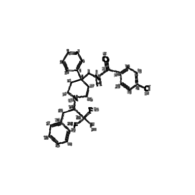 O=C(NCC1(c2ccccc2)CCN(C(Cc2ccccc2)C(F)(F)F)CC1)c1ccc(Cl)cc1